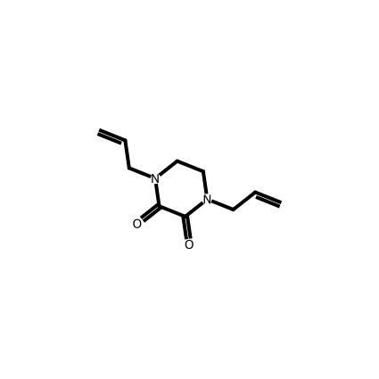 C=CCN1CCN(CC=C)C(=O)C1=O